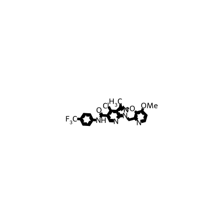 COc1ccnc(Cn2nc(C)c3c(Cl)c(C(=O)Nc4ccc(C(F)(F)F)cc4)cnc32)c1OC